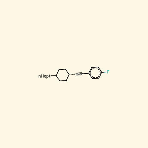 CCCCCCC[C@H]1CC[C@H](C#Cc2ccc(F)cc2)CC1